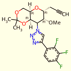 C#CC[C@H]1O[C@@H]2COC(C)(C)O[C@@H]2C(n2cc(-c3ccc(F)c(F)c3F)nn2)[C@H]1OC